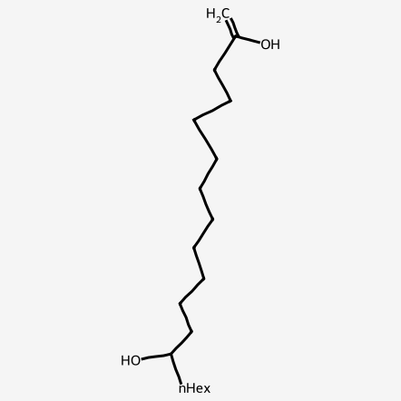 C=C(O)CCCCCCCCCCC(O)CCCCCC